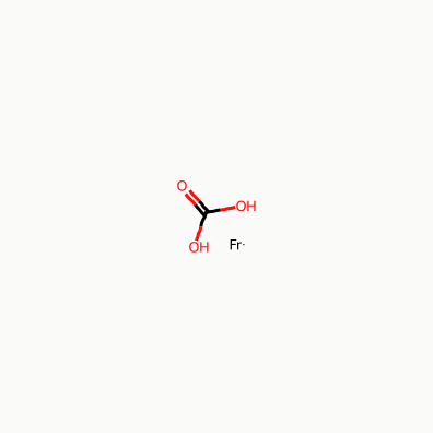 O=C(O)O.[Fr]